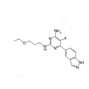 CCOCCCNc1nc(N)c(F)c(-c2ccc3[nH]ncc3c2)n1